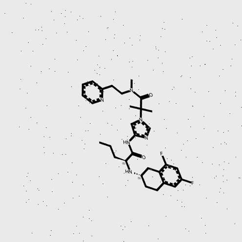 CCC[C@H](N[C@H]1CCc2cc(F)cc(F)c2C1)C(=O)Nc1cn(C(C)(C)C(=O)N(C)CCc2ccccn2)cn1